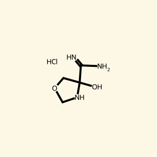 Cl.N=C(N)C1(O)COCN1